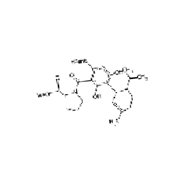 C=C(C)C1CCC(C)=CC1c1c(O)cc(CCCCC)c(C(=O)N2CCCC2C(=O)OC)c1O